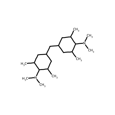 CC1CC(CC2CC(C)C(N(C)C)C(C)C2)CC(C)C1N(C)C